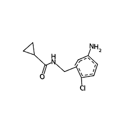 Nc1ccc(Cl)c(CNC(=O)C2CC2)c1